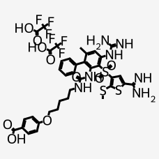 CSc1sc(C(=N)N)cc1S(=O)(=O)c1c(NC(=N)N)cc(C)c(-c2ccccc2)c1NC(=O)NCCCCCOc1ccc(C(=O)O)cc1.O=C(O)C(F)(F)F.O=C(O)C(F)(F)F